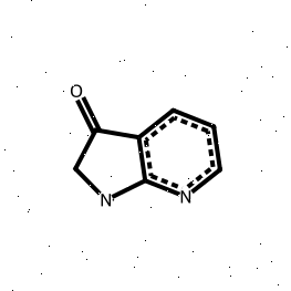 O=C1C[N]c2ncccc21